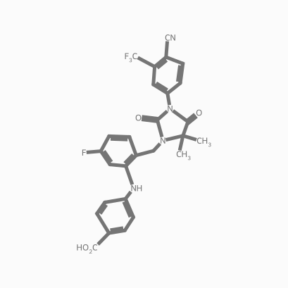 CC1(C)C(=O)N(c2ccc(C#N)c(C(F)(F)F)c2)C(=O)N1Cc1ccc(F)cc1Nc1ccc(C(=O)O)cc1